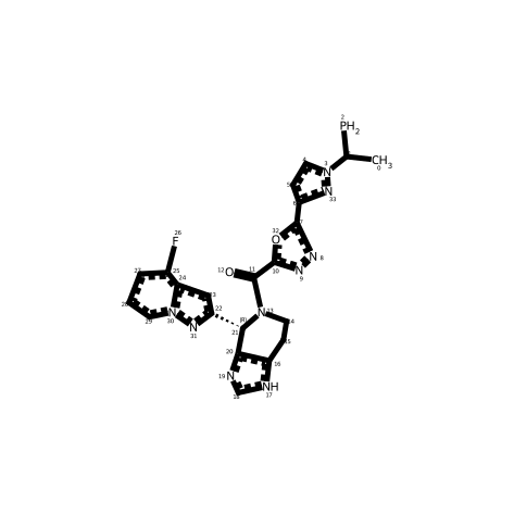 CC(P)n1ccc(-c2nnc(C(=O)N3CCc4[nH]cnc4[C@@H]3c3cc4c(F)cccn4n3)o2)n1